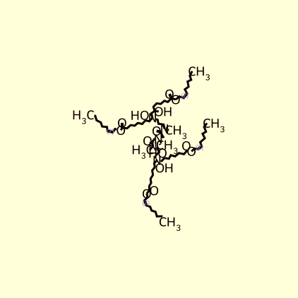 CCCCCC/C=C\COC(=O)CCCCCC(O)CN(CCCN(C)C(=O)CN(C)CC(=O)N(C)CCCN(CC(O)CCCCCC(=O)OC/C=C\CCCCCC)CC(O)CCCCCC(=O)OC/C=C\CCCCCC)CC(O)CCCCCC(=O)OC/C=C\CCCCCC